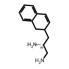 NC[C@H](N)CC1C=Cc2ccccc2C1